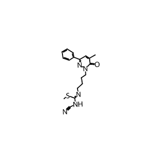 CSC(=NCCCCn1nc(-c2ccccc2)cc(C)c1=O)NC#N